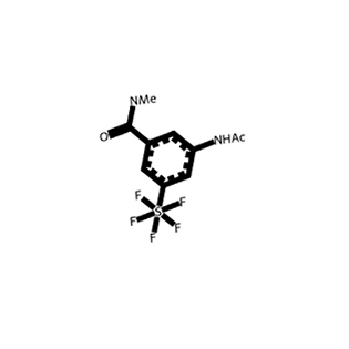 CNC(=O)c1cc(NC(C)=O)cc(S(F)(F)(F)(F)F)c1